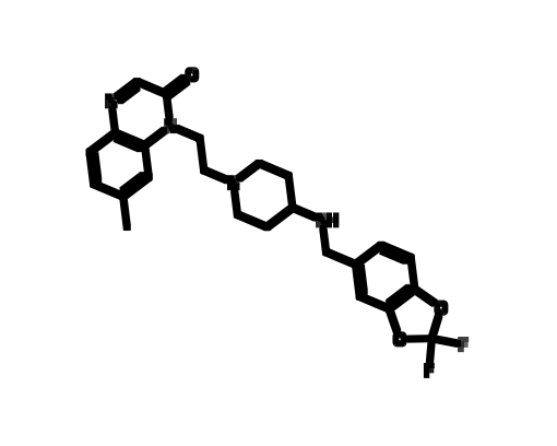 Cc1ccc2ncc(=O)n(CCN3CCC(NCc4ccc5c(c4)OC(F)(F)O5)CC3)c2c1